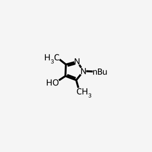 CCCCn1nc(C)c(O)c1C